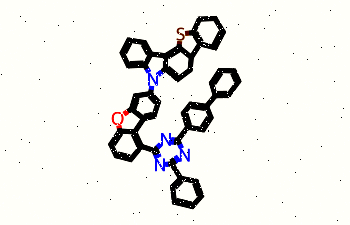 C1=CC2=C(CC1)SC1=c3c(n(-c4ccc5c(c4)oc4cccc(-c6nc(-c7ccccc7)nc(-c7ccc(-c8ccccc8)cc7)n6)c45)c4ccccc34)=CCC21